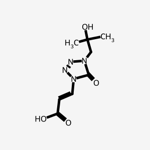 CC(C)(O)Cn1nnn(C=CC(=O)O)c1=O